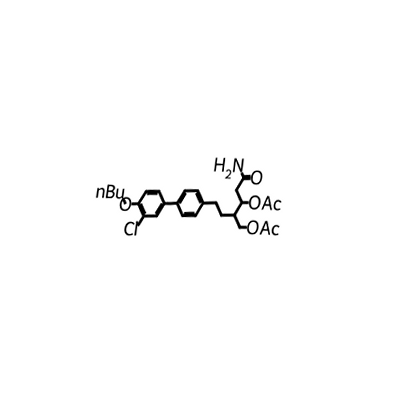 CCCCOc1ccc(-c2ccc(CCC(COC(C)=O)C(CC(N)=O)OC(C)=O)cc2)cc1Cl